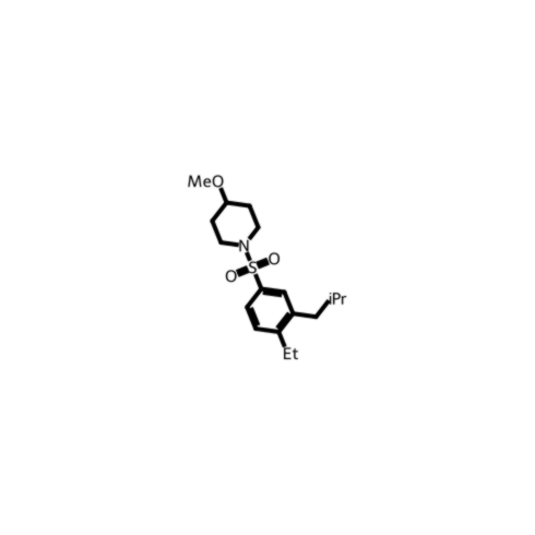 CCc1ccc(S(=O)(=O)N2CCC(OC)CC2)cc1CC(C)C